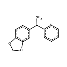 NC(c1ccc2c(c1)OCO2)c1ccccn1